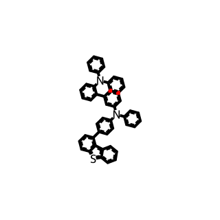 c1ccc(N(c2ccc(-c3cccc4sc5ccccc5c34)cc2)c2cccc(-c3ccccc3N(c3ccccc3)c3ccccc3)c2)cc1